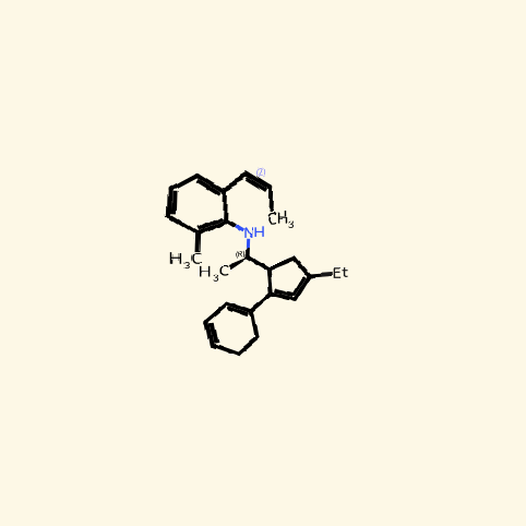 C/C=C\c1cccc(C)c1N[C@H](C)C1CC(CC)=C=C1C1=CC=CCC1